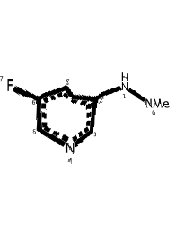 CNNc1cncc(F)c1